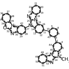 Cn1c2ccc(-c3cccc(-c4ccc5c(c4)n4c6ccccc6nc4n5-c4ccc5nc6oc7ccccc7n6c5c4)c3)cc2n2c3ccccc3nc12